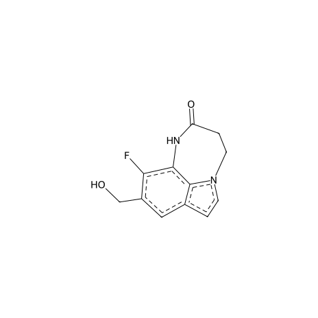 O=C1CCn2ccc3cc(CO)c(F)c(c32)N1